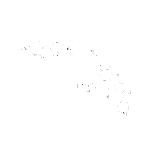 C[C@@H]1CN(c2ccc(C3(C4CCN(S(N)(=O)=O)C4)C=CC(F)=C(c4ccncc4)C3F)c(F)c2)CCN1CC1CCN(c2ccc([C@H]3CCC(=O)NC3=O)cn2)CC1